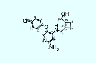 Nc1ncc(Oc2ccc(Cl)cc2)c(NC[C@@H]2CC[C@@H]2CO)n1